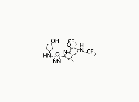 Cc1cc(-c2nnc(NC3CCC(O)C3)o2)nc2c(OC(F)(F)F)cc(NCC(F)(F)F)cc12